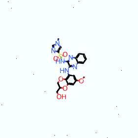 COc1cc(Nc2nc3ccccc3nc2NS(=O)(=O)c2cn(C)cn2)c2c(c1)OC(CO)CO2